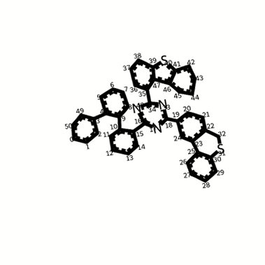 c1ccc(-c2ccccc2-c2ccccc2-c2nc(-c3ccc4c(c3)-c3ccccc3SC4)nc(-c3cccc4sc5ccccc5c34)n2)cc1